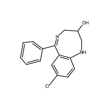 OC1C/N=C(/c2ccccc2)c2cc(Cl)ccc2NC1